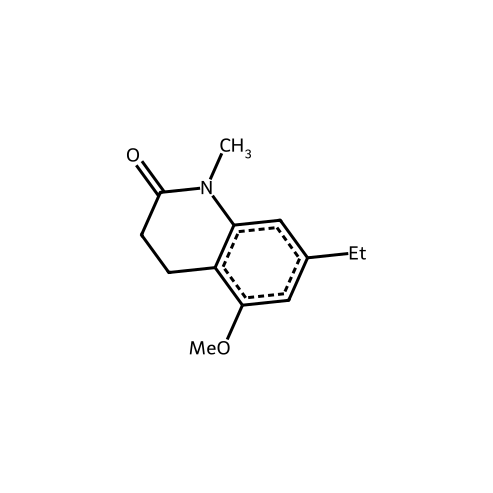 CCc1cc(OC)c2c(c1)N(C)C(=O)CC2